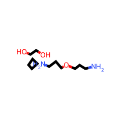 C1CCC1.NCCCOCCCN.OCCO